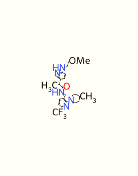 COCCNc1ccc(C(C)C(=O)NCc2ccc(C(F)(F)F)nc2N2CCC(C)CC2)cn1